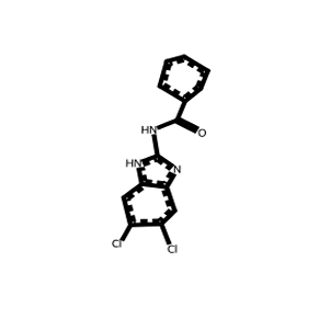 O=C(Nc1nc2cc(Cl)c(Cl)cc2[nH]1)c1ccccc1